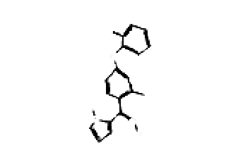 Cc1ccccc1Nc1ccc(C(=NO)c2cccn2C)c(Cl)c1